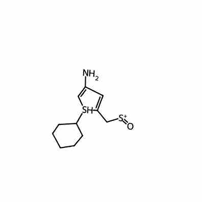 NC1=C[SH](C2CCCCC2)C(C[S+]=O)=C1